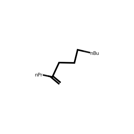 C=C(CCC)CCCCCCC